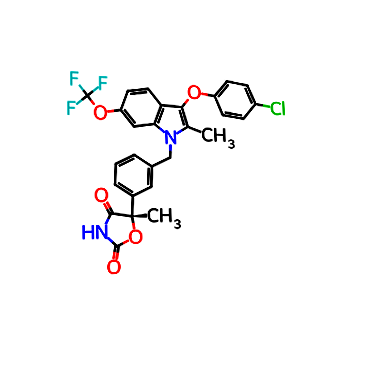 Cc1c(Oc2ccc(Cl)cc2)c2ccc(OC(F)(F)F)cc2n1Cc1cccc([C@]2(C)OC(=O)NC2=O)c1